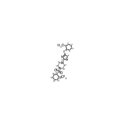 Cc1ccccc1Cc1csc(N2CCN(S(=O)(=O)c3ccccc3C(F)(F)F)CC2)n1